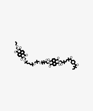 CCCOCN1C(=O)c2ccc3c4c(ccc(c24)C1=O)C(=O)N(COC(C)(C)CCCC(C)(C)OCC(C)(C)COC(C)(C)C(C)(C)C(=O)CN1C(=O)c2ccc4c5c(ccc(c25)C1=O)C(=O)N(CC(=O)C(C)(C)CCC(C)(C)C(=O)C1CCC(C(=O)C(C)(C)CC)CC1)C4=O)C3=O